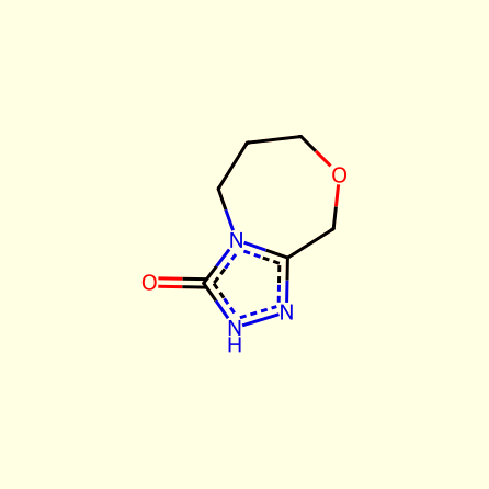 O=c1[nH]nc2n1CCCOC2